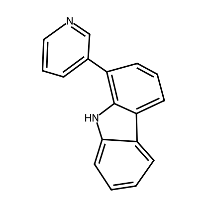 c1cncc(-c2cccc3c2[nH]c2ccccc23)c1